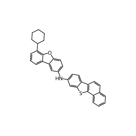 c1ccc2c(c1)ccc1c3ccc(Nc4ccc5oc6c(C7CCCCC7)cccc6c5c4)cc3sc21